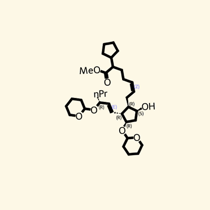 CCC[C@H](/C=C/[C@@H]1[C@@H](C/C=C\CCC(C(=O)OC)C2CCCC2)[C@@H](O)C[C@H]1OC1CCCCO1)OC1CCCCO1